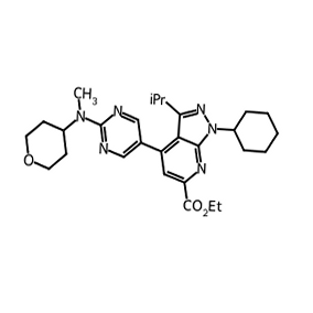 CCOC(=O)c1cc(-c2cnc(N(C)C3CCOCC3)nc2)c2c(C(C)C)nn(C3CCCCC3)c2n1